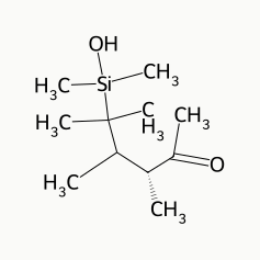 CC(=O)[C@H](C)C(C)C(C)(C)[Si](C)(C)O